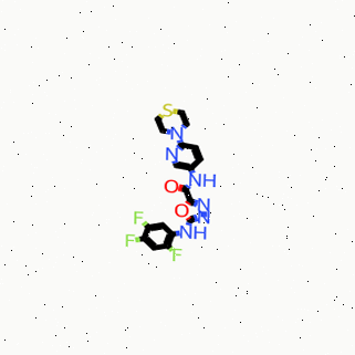 O=C(Nc1ccc(N2CCSCC2)nc1)c1nnc(Nc2cc(F)c(F)cc2F)o1